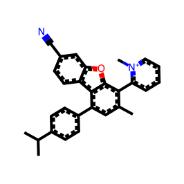 Cc1cc(-c2ccc(C(C)C)cc2)c2c(oc3cc(C#N)ccc32)c1-c1cccc[n+]1C